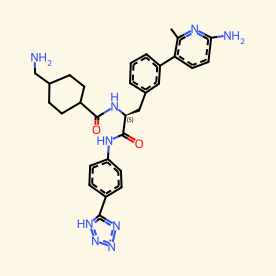 Cc1nc(N)ccc1-c1cccc(C[C@H](NC(=O)C2CCC(CN)CC2)C(=O)Nc2ccc(-c3nnn[nH]3)cc2)c1